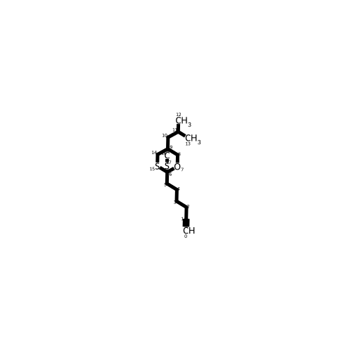 C#CCCCCC12OCC(CC(C)C)(CS1)CS2